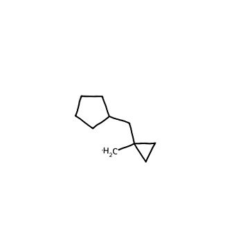 [CH2]C1(CC2CCCC2)CC1